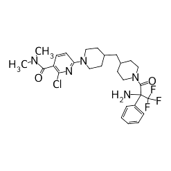 CN(C)C(=O)c1ccc(N2CCC(CC3CCN(C(=O)C(N)(c4ccccc4)C(F)(F)F)CC3)CC2)nc1Cl